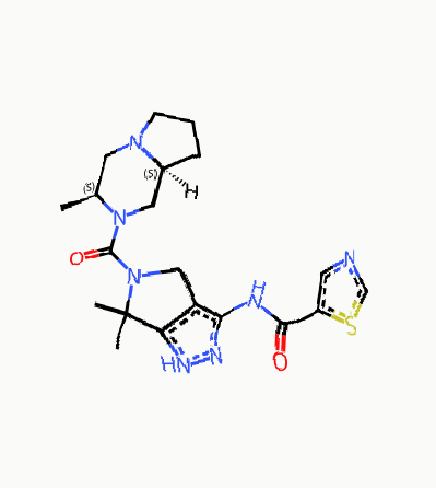 C[C@H]1CN2CCC[C@H]2CN1C(=O)N1Cc2c(NC(=O)c3cncs3)n[nH]c2C1(C)C